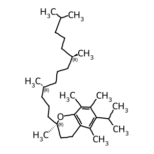 Cc1c(C)c(C(C)C)c(C)c2c1O[C@](C)(CCC[C@H](C)CCC[C@H](C)CCCC(C)C)CC2